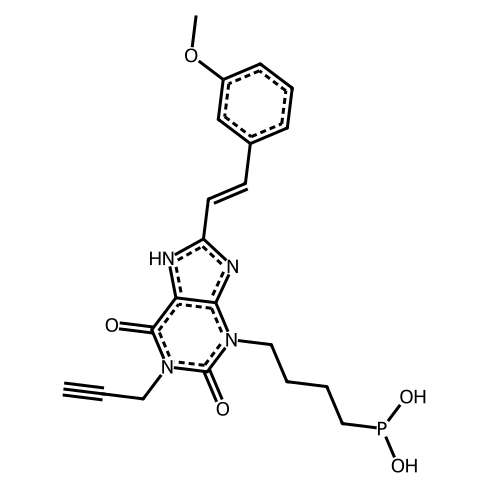 C#CCn1c(=O)c2[nH]c(/C=C/c3cccc(OC)c3)nc2n(CCCCP(O)O)c1=O